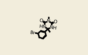 CN1C(=O)NC(C)(C2=CC(Br)CC=C2)NC1=O